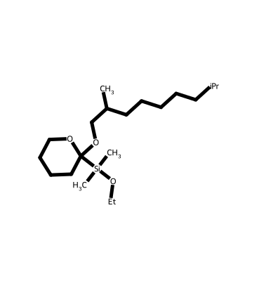 CCO[Si](C)(C)C1(OCC(C)CCCCCC(C)C)CCCCO1